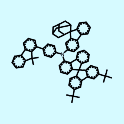 CC(C)(C)c1ccc2c(c1)-c1cc(C(C)(C)C)ccc1C21c2ccccc2-c2c(N(c3ccc(-c4cccc5c4C(C)(C)c4ccccc4-5)cc3)c3ccc4c(c3)C3(c5ccccc5-4)C4CC5CC(C4)CC3C5)cccc21